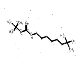 CC(C)(C)CCCCCCNC(=N)NC(C)(C)C